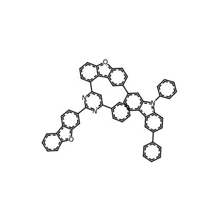 c1ccc(-c2ccc3c(c2)c2ccc(-c4ccc5oc6cccc(-c7cc(-c8ccccc8)nc(-c8ccc9c(c8)oc8ccccc89)n7)c6c5c4)cc2n3-c2ccccc2)cc1